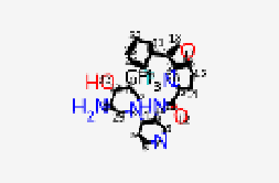 CC1CN(c2ccncc2NC(=O)c2ccc3occ(-c4ccccc4F)c3n2)CC(N)C1O